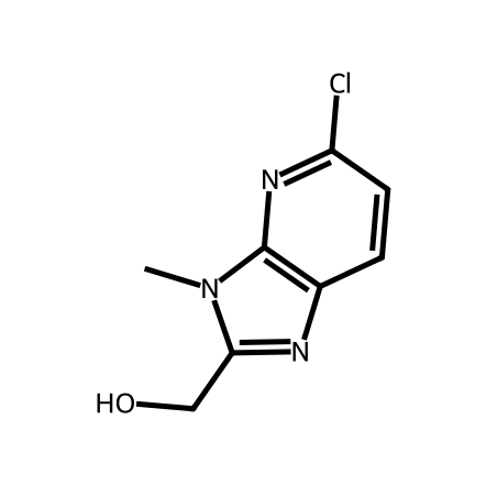 Cn1c(CO)nc2ccc(Cl)nc21